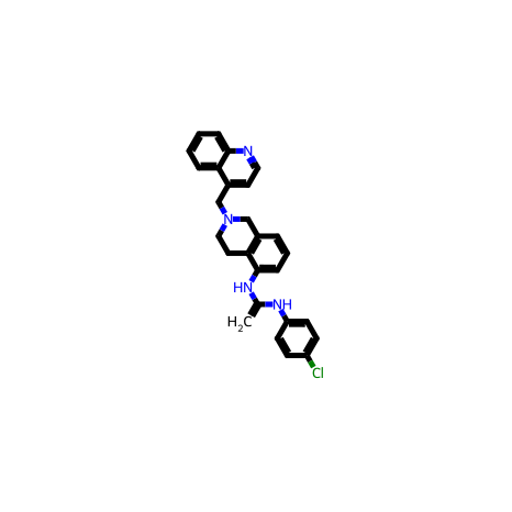 C=C(Nc1ccc(Cl)cc1)Nc1cccc2c1CCN(Cc1ccnc3ccccc13)C2